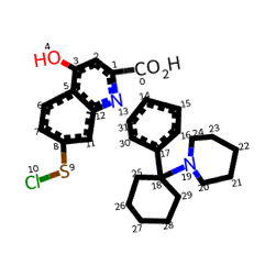 O=C(O)c1cc(O)c2ccc(SCl)cc2n1.c1ccc(C2(N3CCCCC3)CCCCC2)cc1